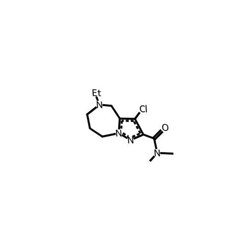 CCN1CCCn2nc(C(=O)N(C)C)c(Cl)c2C1